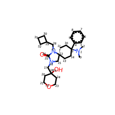 CN(C)[C@]1(c2ccccc2)CC[C@]2(CC1)CN(CC1(O)CCOCC1)C(=O)N2CC1CCC1